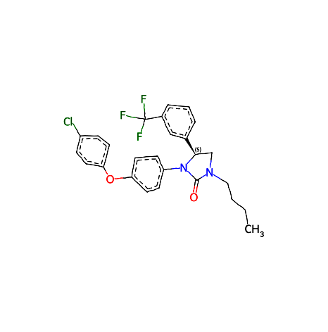 CCCCN1C[C@H](c2cccc(C(F)(F)F)c2)N(c2ccc(Oc3ccc(Cl)cc3)cc2)C1=O